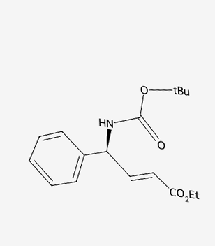 CCOC(=O)/C=C/[C@H](NC(=O)OC(C)(C)C)c1ccccc1